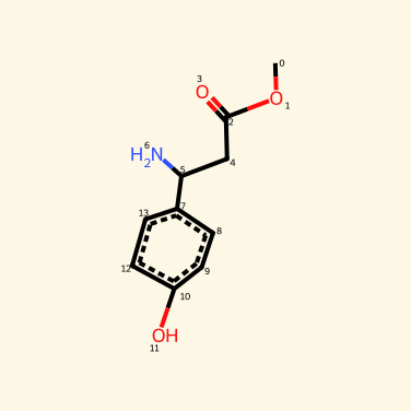 COC(=O)CC(N)c1ccc(O)cc1